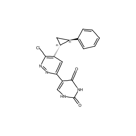 O=c1[nH]cc(-c2cc([C@@H]3C[C@H]3c3ccccc3)c(Cl)nn2)c(=O)[nH]1